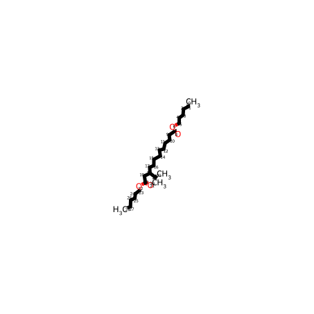 CCCCCCOC(=O)CCCCCCCCCC(CC(=O)OCCCCCC)C(C)C